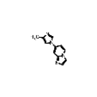 Cc1cn(-c2ccn3ccnc3c2)cn1